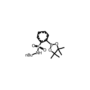 CCCCNS(=O)(=O)c1ccccc1B1OC(C)(C)C(C)(C)O1